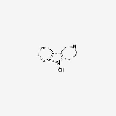 Cn1c2c(c3ccccc31)C=NCC2